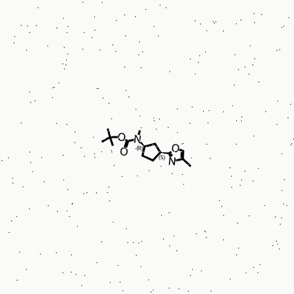 Cc1coc([C@H]2CC[C@@H](N(C)C(=O)OC(C)(C)C)C2)n1